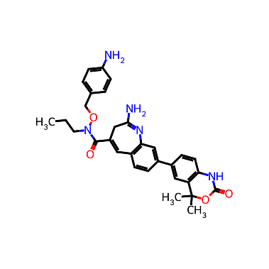 CCCN(OCc1ccc(N)cc1)C(=O)C1=Cc2ccc(-c3ccc4c(c3)C(C)(C)OC(=O)N4)cc2N=C(N)C1